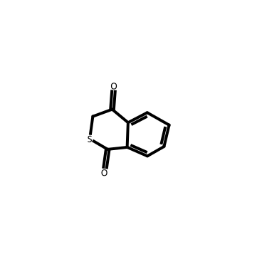 O=C1CSC(=O)c2ccccc21